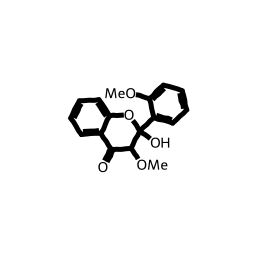 COc1ccccc1C1(O)Oc2ccccc2C(=O)C1OC